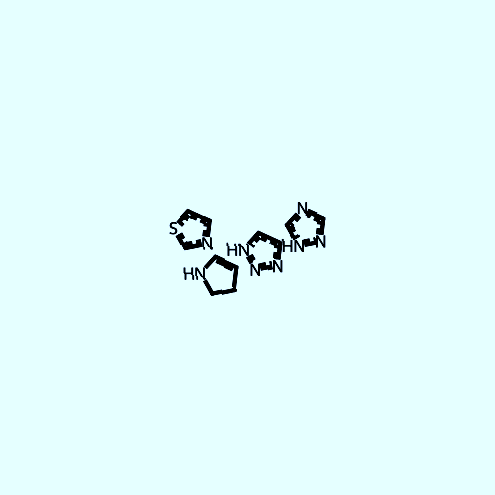 C1=CNCC1.c1c[nH]nn1.c1cscn1.c1nc[nH]n1